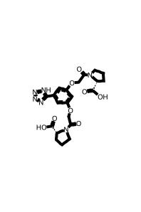 O=C(O)[C@H]1CCCN1C(=O)COc1cc(OCC(=O)N2CCC[C@@H]2C(=O)O)cc(-c2nnn[nH]2)c1